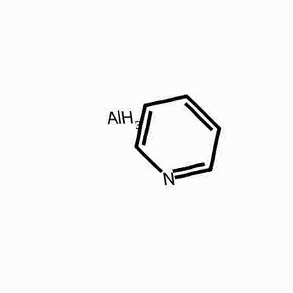 [AlH3].c1ccncc1